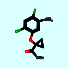 COC(=O)C1(Oc2cc([N+](=O)[O-])c(F)cc2Cl)CC1